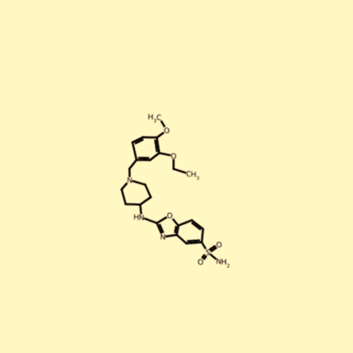 CCOc1cc(CN2CCC(Nc3nc4cc(S(N)(=O)=O)ccc4o3)CC2)ccc1OC